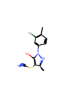 Cc1ccc(-n2nc(C)c(SC#N)c2O)cc1Cl